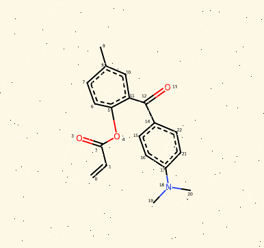 C=CC(=O)Oc1ccc(C)cc1C(=O)c1ccc(N(C)C)cc1